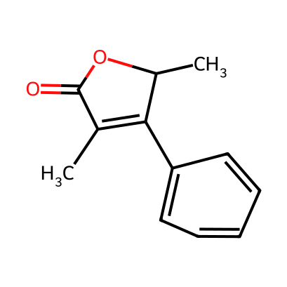 CC1=C(c2ccccc2)C(C)OC1=O